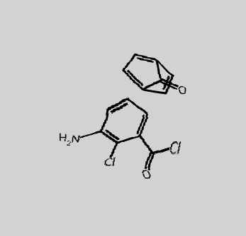 Nc1cccc(C(=O)Cl)c1Cl.O=C1C2=CC=C1C=C2